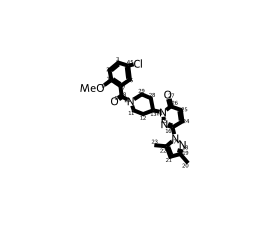 COc1ccc(Cl)cc1C(=O)N1CCC(n2nc(-n3nc(C)cc3C)ccc2=O)CC1